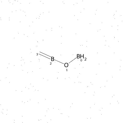 BOB=C